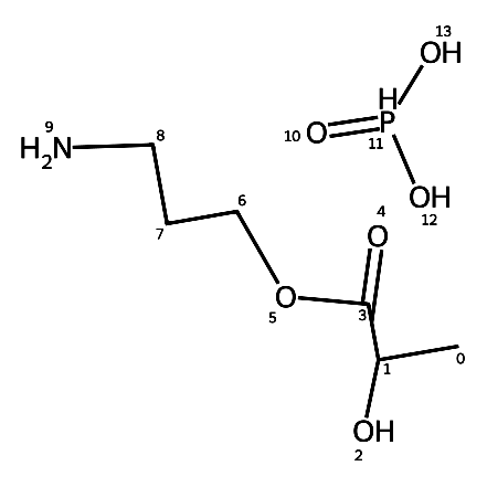 CC(O)C(=O)OCCCN.O=[PH](O)O